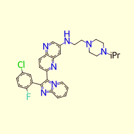 CC(C)N1CCN(CCNc2cnc3ccc(-c4c(-c5cc(Cl)ccc5F)nc5ccccn45)nc3c2)CC1